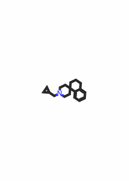 c1ccc2c(c1)CCCC21CCN(CC2CC2)CC1